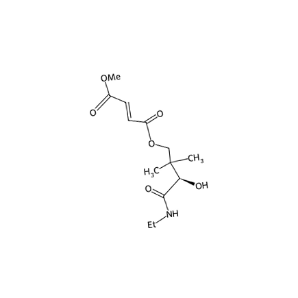 CCNC(=O)[C@H](O)C(C)(C)COC(=O)/C=C/C(=O)OC